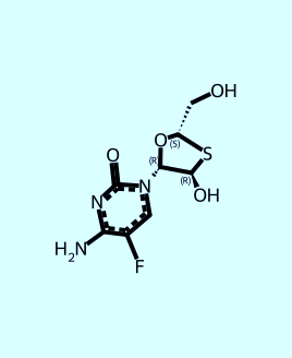 Nc1nc(=O)n([C@@H]2O[C@H](CO)S[C@H]2O)cc1F